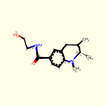 CC1Cc2cc(C(=O)NCCO)ccc2N(C)[C@H]1C